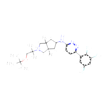 [2H]C([2H])(COC(C)(C)C)N1C[C@H]2CC(Nc3ccc(-c4cc(F)cc(F)c4F)nn3)C[C@H]2C1